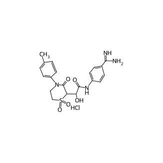 Cc1ccc(N2CCS(=O)(=O)C(C(O)C(=O)Nc3ccc(C(=N)N)cc3)C2=O)cc1.Cl